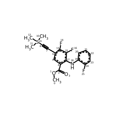 COC(=O)c1cc(C#C[Si](C)(C)C)c(F)c(F)c1Nc1ccccc1F